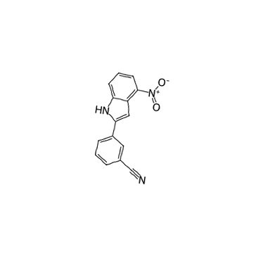 N#Cc1cccc(-c2cc3c([N+](=O)[O-])cccc3[nH]2)c1